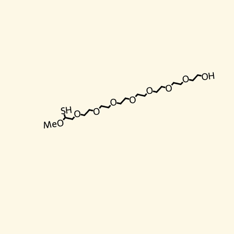 COC(S)COCCOCCOCCOCCOCCOCCOCCO